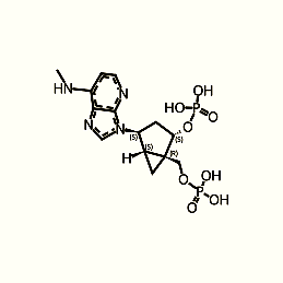 CNc1ccnc2c1ncn2[C@H]1C[C@H](OP(=O)(O)O)[C@]2(COP(=O)(O)O)C[C@H]12